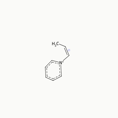 C/C=C\[n+]1ccccc1